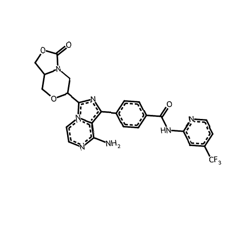 Nc1nccn2c(C3CN4C(=O)OCC4CO3)nc(-c3ccc(C(=O)Nc4cc(C(F)(F)F)ccn4)cc3)c12